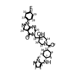 Cn1nccc1N[C@H]1CC[C@@H](C(=O)N2CCC(O)(Cn3cnc4c(cnn4-c4ccc(F)cc4)c3=O)CC2)CC1